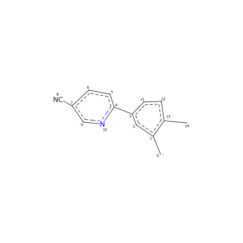 [CH2]c1cc(-c2ccc(C#N)cn2)ccc1C